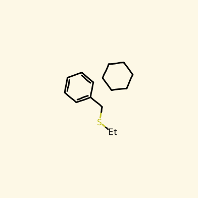 C1CCCCC1.CCSCc1ccccc1